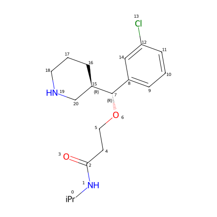 CC(C)NC(=O)CCO[C@@H](c1cccc(Cl)c1)[C@@H]1CCCNC1